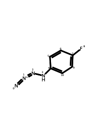 [N-]=[N+]=NNc1ccc(F)cc1